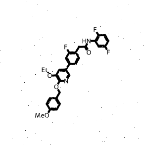 CCOc1cc(-c2ccc(CC(=O)Nc3cc(F)ccc3F)c(F)c2)cnc1OCc1ccc(OC)cc1